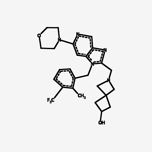 Cc1c(Cn2c(CN3CC4(CC(O)C4)C3)nc3cnc(N4CCOCC4)cc32)cccc1C(F)(F)F